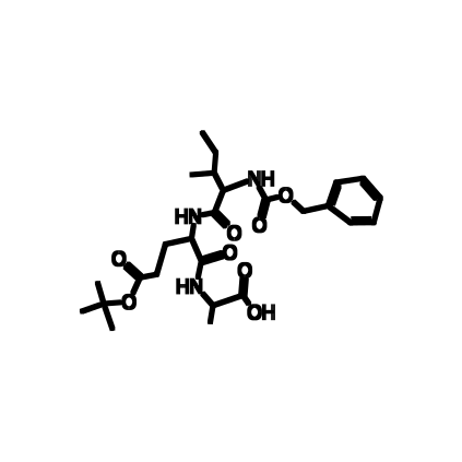 CCC(C)C(NC(=O)OCc1ccccc1)C(=O)NC(CCC(=O)OC(C)(C)C)C(=O)NC(C)C(=O)O